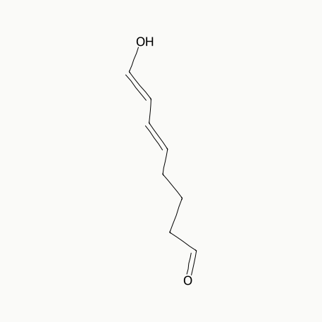 O=CCCCC=CC=CO